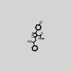 CNC(=O)c1c(-c2ccc(Cl)cc2)noc1CC(O)c1ccccc1